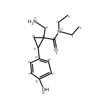 CCN(CC)C(=O)C1(CN)CC1c1ccc(O)cc1